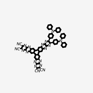 N#Cc1nc2nc3cc4c5cc6nc7nc(C#N)c(C#N)nc7nc6cc5c5cc6nc7nc(-c8ccc(N(c9ccccc9)c9ccccc9)cc8)c(-c8ccc(N(c9ccccc9)c9ccccc9)cc8)nc7nc6cc5c4cc3nc2nc1C#N